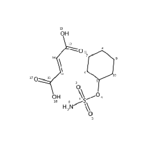 NS(=O)(=O)OC1CCCCC1.O=C(O)C=CC(=O)O